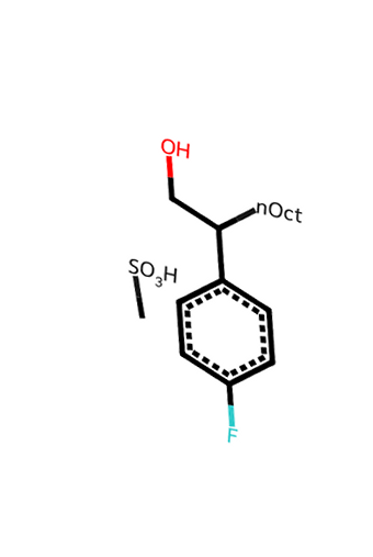 CCCCCCCCC(CO)c1ccc(F)cc1.CS(=O)(=O)O